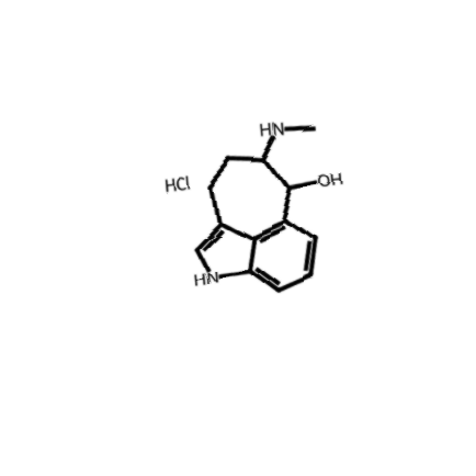 CNC1CCc2c[nH]c3cccc(c23)C1O.Cl